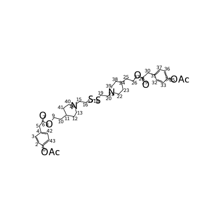 CC(=O)Oc1ccc(CC(=O)OCCC2CCN(CCSSCCN3CCC(CCOC(=O)Cc4ccc(OC(C)=O)cc4)CC3)CC2)cc1